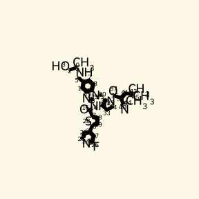 C[C@@H](CO)NCc1ccc2c(c1)nc(NC(=O)c1ccc(-c3ccnc(F)c3)s1)n2C[C@H]1CCCN1C(=O)/C(C#N)=C/C(C)(C)C